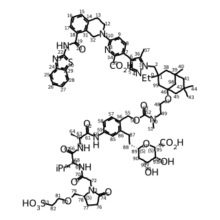 CCC1(Cn2ncc(-c3ccc(N4CCc5cccc(C(=O)Nc6nc7ccccc7s6)c5C4)nc3C(=O)O)c2C)CC2(C)CC(C)(C)CC(OCCN(C)C(=O)OCc3ccc(NC(=O)[C@H](C)NC(=O)[C@@H](NC(=O)CN4C(=O)CC[C@H]4COCCS(=O)(=O)O)C(C)C)cc3CC[C@H]3C[C@@H](O)[C@H](O)[C@@H](C(=O)O)O3)(C2)C1